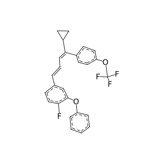 Fc1ccc(C=CC=C(c2ccc(OC(F)(F)F)cc2)C2CC2)cc1Oc1ccccc1